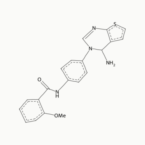 COc1ccccc1C(=O)Nc1ccc(N2C=Nc3sccc3C2N)cc1